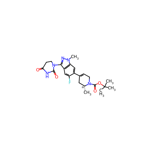 C[C@@H]1CC(c2cc3c(cc2F)c(N2CCC(=O)NC2=O)nn3C)=CCN1C(=O)OC(C)(C)C